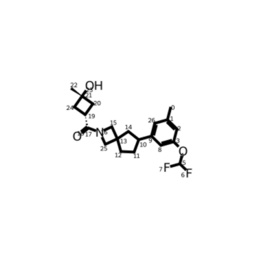 Cc1cc(OC(F)F)cc(C2CCC3(C2)CN(C(=O)[C@H]2C[C@@](C)(O)C2)C3)c1